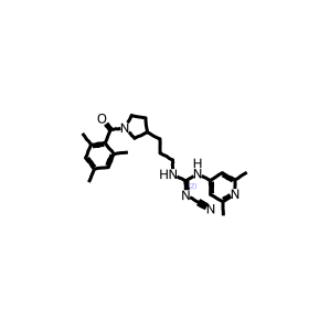 Cc1cc(C)c(C(=O)N2CCC(CCCN/C(=N/C#N)Nc3cc(C)nc(C)c3)C2)c(C)c1